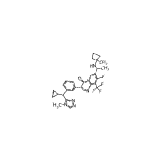 CC(NC1(C)CCC1)c1cn2c(=O)c(-c3cccc(C(c4nncn4C)C4CC4)c3)cnc2c(C(F)(F)F)c1F